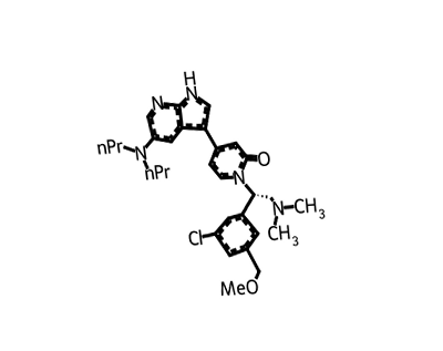 CCCN(CCC)c1cnc2[nH]cc(-c3ccn([C@H](CN(C)C)c4cc(Cl)cc(COC)c4)c(=O)c3)c2c1